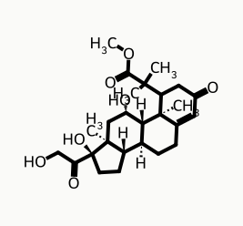 COC(=O)C(C)(C)C1CC(=O)C=C2CC[C@@H]3[C@H]([C@@H](O)C[C@@]4(C)[C@H]3CC[C@]4(O)C(=O)CO)[C@]21C